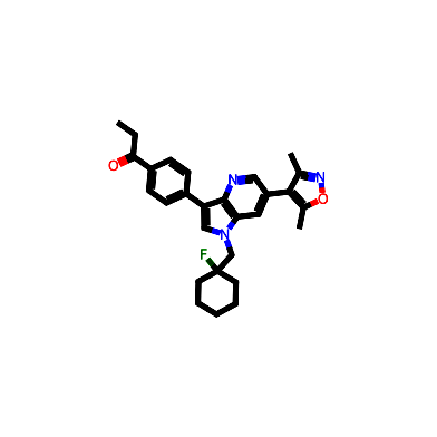 CCC(=O)c1ccc(-c2cn(CC3(F)CCCCC3)c3cc(-c4c(C)noc4C)cnc23)cc1